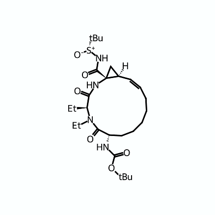 CC[C@H]1C(=O)N[C@]2(C(=O)N[S@+]([O-])C(C)(C)C)C[C@H]2/C=C\CCCCC[C@H](NC(=O)OC(C)(C)C)C(=O)N1CC